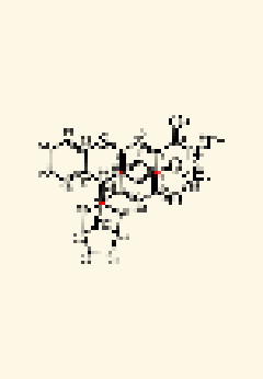 CCN(CC)C(=O)c1ccc2c(c1)Sc1ccccc1C2=C1CC2CCC(C1)N2Cc1ccc2c(c1)OCO2